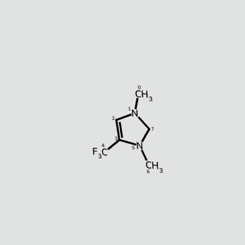 CN1C=C(C(F)(F)F)N(C)C1